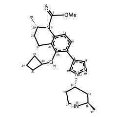 COC(=O)N1c2ccc(-c3cnn([C@H]4CCN[C@H](C)C4)c3)c(OC3CCC3)c2CC[C@@H]1C